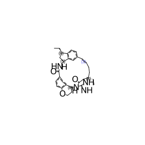 CC[C@@H]1C[C@@H]2NC(=O)c3ccc4c(c3)[C@@H](CCO4)N3C(=N)N[C@](CC)(CC/C=C\c4ccc1c2c4)CC3=O